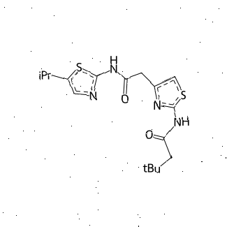 CC(C)c1cnc(NC(=O)Cc2csc(NC(=O)CC(C)(C)C)n2)s1